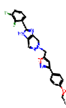 Fc1cccc(-c2nc3c([nH]2)C=NN(Cc2cc(-c4ccc(OCC(F)(F)F)cc4)no2)C3)c1F